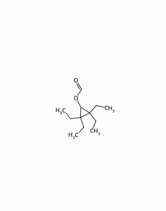 CCC1(CC)C(OC=O)C1(CC)CC